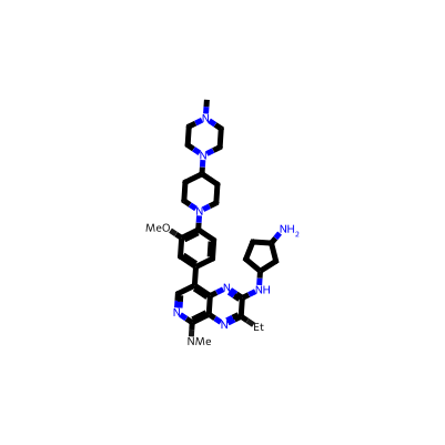 CCc1nc2c(NC)ncc(-c3ccc(N4CCC(N5CCN(C)CC5)CC4)c(OC)c3)c2nc1NC1CCC(N)C1